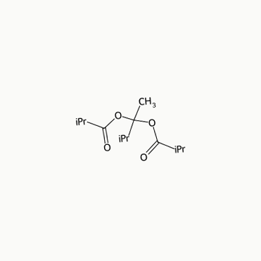 CC(C)C(=O)OC(C)(OC(=O)C(C)C)C(C)C